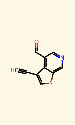 C#Cc1csc2cncc(C=O)c12